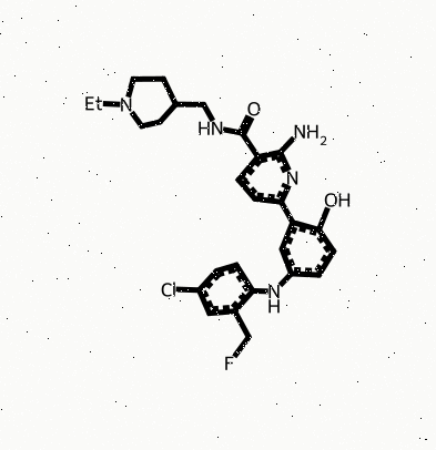 CCN1CCC(CNC(=O)c2ccc(-c3cc(Nc4ccc(Cl)cc4CF)ccc3O)nc2N)CC1